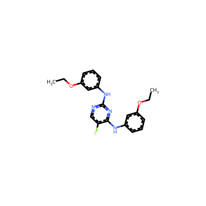 CCOc1cccc(Nc2ncc(F)c(Nc3cccc(OCC)c3)n2)c1